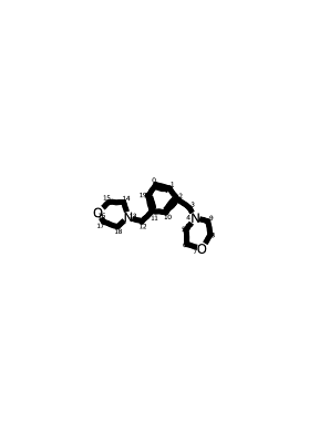 c1cc(CN2CCOCC2)cc(CN2CCOCC2)c1